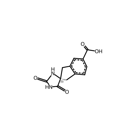 O=C1NC(=O)[C@@]2(Cc3ccc(C(=O)O)cc3C2)N1